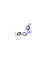 N#Cc1ccc(NC2CCN(Cc3ccc(F)c(F)c3)CC2)nn1